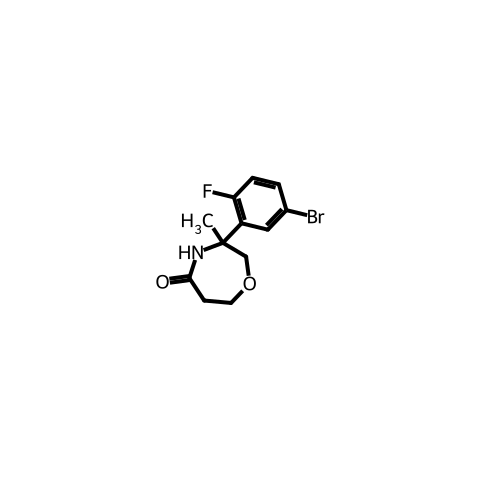 CC1(c2cc(Br)ccc2F)COCCC(=O)N1